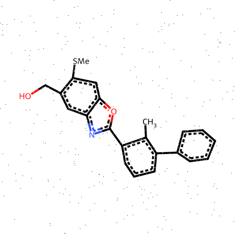 CSc1cc2oc(-c3cccc(-c4ccccc4)c3C)nc2cc1CO